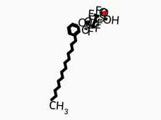 CCCCCCCCCCCCCCCc1cccc(OS(=O)(=O)C(F)(F)C(F)(F)C(F)(F)S(=O)(=O)O)c1